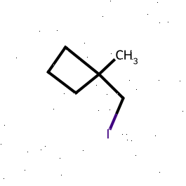 CC1(CI)CCC1